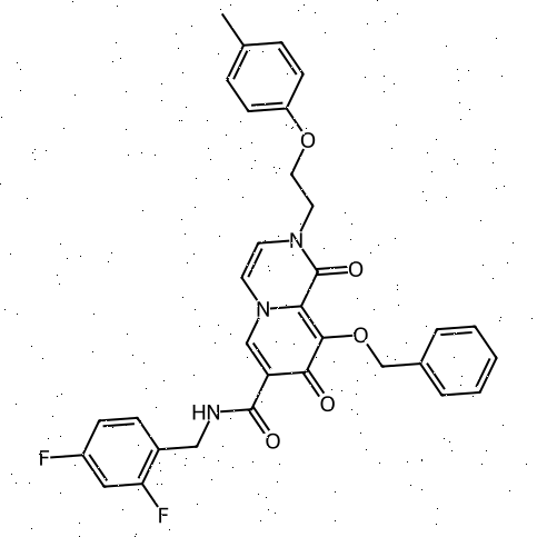 Cc1ccc(OCCn2ccn3cc(C(=O)NCc4ccc(F)cc4F)c(=O)c(OCc4ccccc4)c3c2=O)cc1